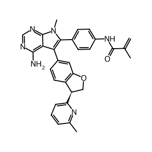 C=C(C)C(=O)Nc1ccc(-c2c(-c3ccc4c(c3)OC[C@H]4c3cccc(C)n3)c3c(N)ncnc3n2C)cc1